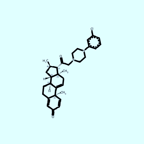 C[C@@H]1C[C@H]2[C@@H]3CCC4=CC(=O)C=C[C@]4(C)C3=CC[C@]2(C)[C@H]1C(=O)CN1CCN(c2cccc(Cl)c2)CC1